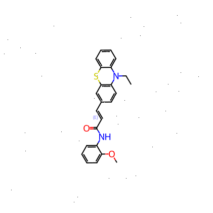 CCN1c2ccccc2Sc2cc(/C=C/C(=O)Nc3ccccc3OC)ccc21